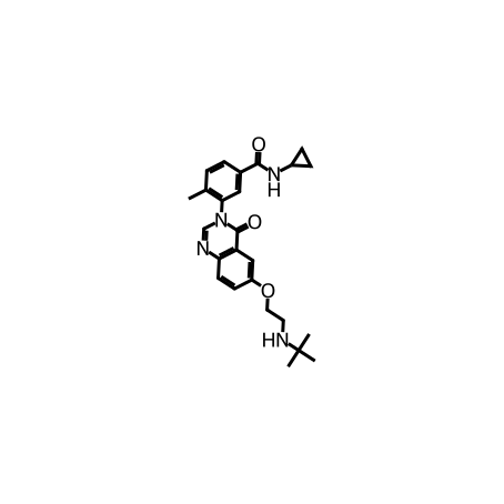 Cc1ccc(C(=O)NC2CC2)cc1-n1cnc2ccc(OCCNC(C)(C)C)cc2c1=O